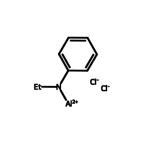 CC[N]([Al+2])c1ccccc1.[Cl-].[Cl-]